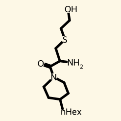 CCCCCCC1CCN(C(=O)C(N)CSCCO)CC1